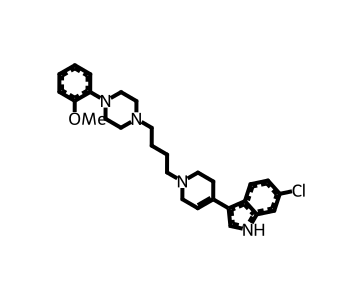 COc1ccccc1N1CCN(CCCCN2CC=C(c3c[nH]c4cc(Cl)ccc34)CC2)CC1